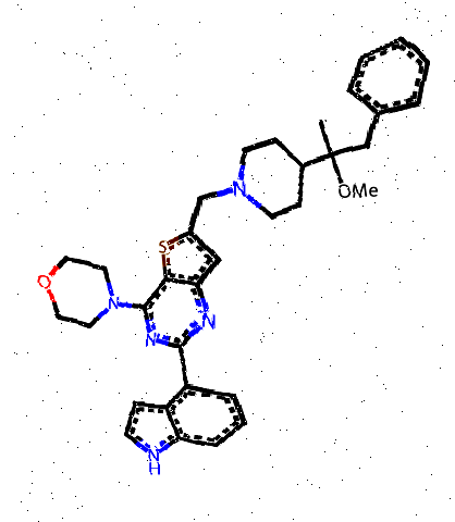 [CH2]C(Cc1ccccc1)(OC)C1CCN(Cc2cc3nc(-c4cccc5[nH]ccc45)nc(N4CCOCC4)c3s2)CC1